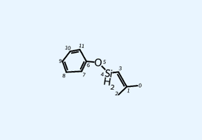 CC(C)=C[SiH2]Oc1ccccc1